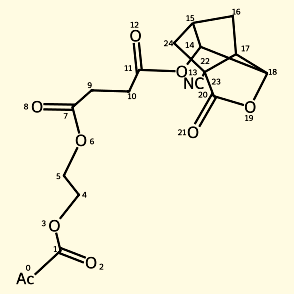 CC(=O)C(=O)OCCOC(=O)CCC(=O)OC1C2CC3C1OC(=O)C3(C#N)C2